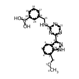 COCc1cccc2c(-c3ncnc(NCc4cccc(B(O)O)c4)n3)n[nH]c12